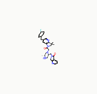 C[C@@H]1CN(CC(=O)N2CC(C)(C)c3ncc(Cc4ccc(F)cc4)cc32)[C@@H](CN2Cc3ncccc3C2=O)CN1